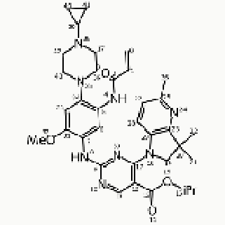 C=CC(=O)Nc1cc(Nc2ncc(C(=O)OC(C)C)c(N3CC(C)(C)c4nc(C)ccc43)n2)c(OC)cc1N1CCN(C2CC2)CC1